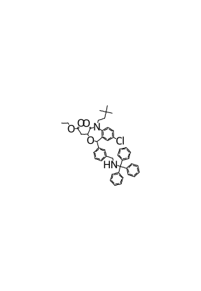 CCOC(=O)CC1OC(c2cccc(CNC(c3ccccc3)(c3ccccc3)c3ccccc3)c2)c2cc(Cl)ccc2N(CCC(C)(C)C)C1=O